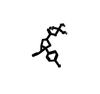 CC(C)(C)OC(=O)N1CC2C(C=O)C2(c2ccc(Cl)cc2)C1